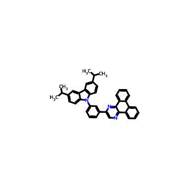 CC(C)c1ccc2c(c1)c1cc(C(C)C)ccc1n2-c1cccc(-c2cnc3c4ccccc4c4ccccc4c3n2)c1